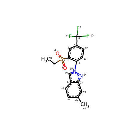 CCS(=O)(=O)c1cc(C(F)(F)F)ccc1-n1cc2ccc(C)cc2n1